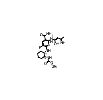 CC(=N)/C=C(\O)Nc1nc(N[C@@H]2CCCC[C@@H]2NC(=O)OC(C)(C)C)c(F)cc1C(N)=O